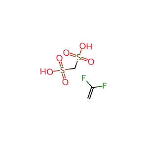 C=C(F)F.O=S(=O)(O)CS(=O)(=O)O